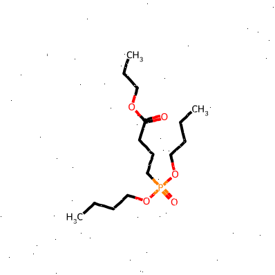 CCCCOP(=O)(CCCC(=O)OCCC)OCCCC